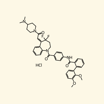 COc1cccc(-c2ccccc2C(=O)Nc2ccc(C(=O)N3CCC(F)(F)C(=CC(=O)N4CCC(N(C)C)CC4)c4ccccc43)cc2)c1OC.Cl